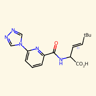 CC(C)(C)/C=C/C(NC(=O)c1cccc(-n2cnnc2)n1)C(=O)O